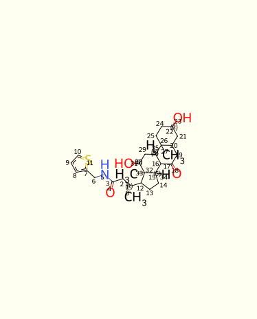 C[C@H](CC(=O)NCc1cccs1)C1CC[C@H]2C3C(=O)CC4C[C@H](O)CCC4(C)[C@H]3C[C@H](O)C12C